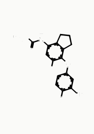 CCOC(=O)C(=O)Nc1cc(I)c(Oc2ccc(O)c(C(C)C)c2)c2c1CCC2